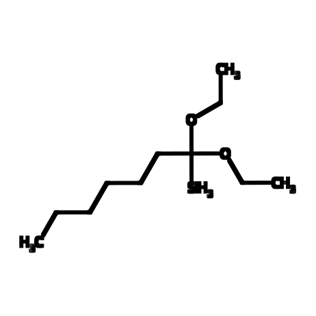 CCCCCCC([SiH3])(OCC)OCC